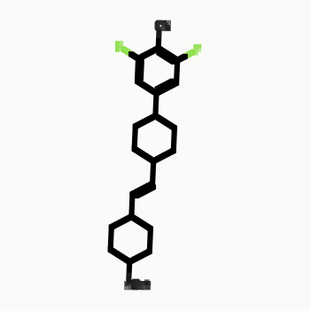 CCCCCCCCC1CCC(C=CC2CCC(c3cc(F)c(C#N)c(F)c3)CC2)CC1